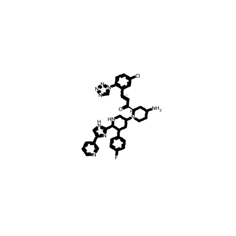 NC1CCN(C2CNC(c3nc(-c4cccnc4)c[nH]3)C(c3ccc(F)cc3)C2)[C@@H](C(=O)/C=C/c2cc(Cl)ccc2-n2cnnn2)C1